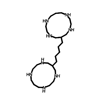 C(CCC1CNCCNCCCNCCNC1)CCC1CNCCNCCCNCCNC1